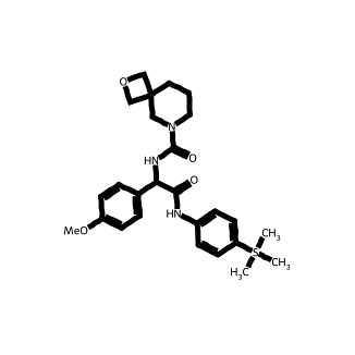 COc1ccc(C(NC(=O)N2CCCC3(COC3)C2)C(=O)Nc2ccc(S(C)(C)C)cc2)cc1